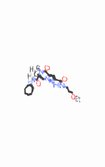 CCOCCCNC(=O)c1cc2n(n1)CC(C)(C(=O)NC1CCCCCC1)N(C)C2=O